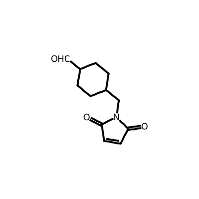 O=CC1CCC(CN2C(=O)C=CC2=O)CC1